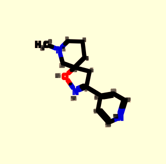 CN1CCCC2(CC(c3ccncc3)=NO2)C1